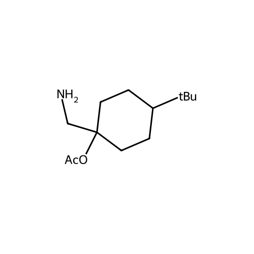 CC(=O)OC1(CN)CCC(C(C)(C)C)CC1